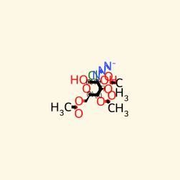 CC(=O)OC[C@H]1O[C@@](O)(Cl)[C@@](O)(N=[N+]=[N-])[C@@H](OC(C)=O)[C@@H]1OC(C)=O